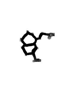 COc1ccc2c(c1)C(C=CC#N)CCC2